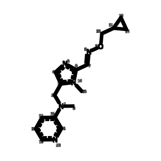 CN(Cc1cnc(/C=N/OCC2CC2)n1C)c1cccnc1